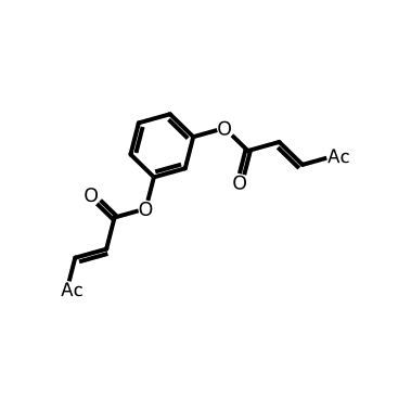 CC(=O)C=CC(=O)Oc1cccc(OC(=O)C=CC(C)=O)c1